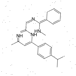 C=C(/C=N\C(NC)=C1\C=CC=CC1)N/C(=C\C(C)=N)c1ccc(C(C)C)cc1